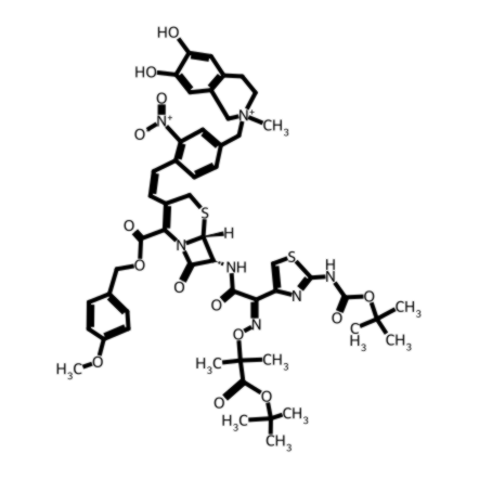 COc1ccc(COC(=O)C2=C(/C=C\c3ccc(C[N+]4(C)CCc5cc(O)c(O)cc5C4)cc3[N+](=O)[O-])CS[C@@H]3[C@H](NC(=O)/C(=N\OC(C)(C)C(=O)OC(C)(C)C)c4csc(NC(=O)OC(C)(C)C)n4)C(=O)N23)cc1